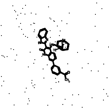 CC(=O)c1cccc(-c2ccc3c(N[C@H]4CN5CCC4CC5)c(-c4nc5ccccc5[nH]4)c(=O)[nH]c3c2)c1